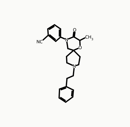 CC1OC2(CCN(CCc3ccccc3)CC2)CN(c2cccc(C#N)c2)C1=O